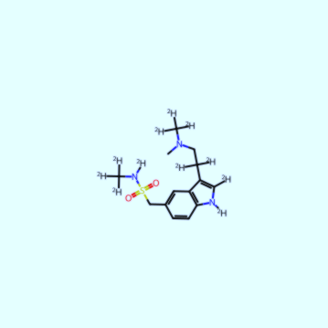 [2H]c1c(C([2H])([2H])CN(C)C([2H])([2H])[2H])c2cc(CS(=O)(=O)N([2H])C([2H])([2H])[2H])ccc2n1[2H]